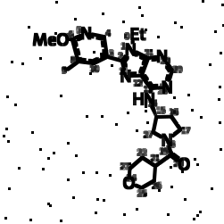 CCn1c(-c2cnc(OC)c(C)c2)nc2c(N[C@H]3CCN(C(=O)C4CCOCC4)C3)ncnc21